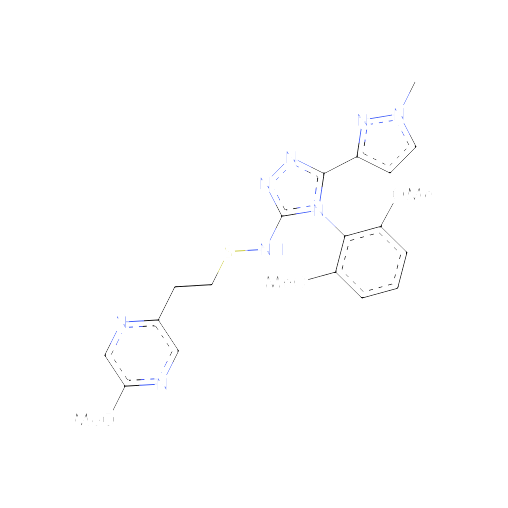 COc1cnc(CCSNc2nnc(-c3ccn(C)n3)n2-c2c(OC)cccc2OC)cn1